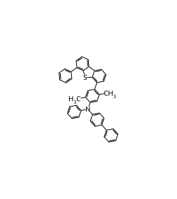 Cc1cc(N(c2ccccc2)c2ccc(-c3ccccc3)cc2)c(C)cc1-c1cccc2c1sc1c(-c3ccccc3)cccc12